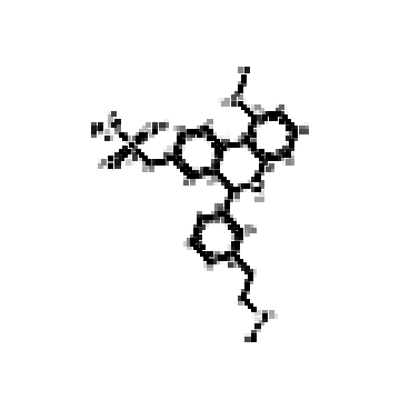 COCCc1cccc(C2Oc3cccc(OC)c3-c3ccc(CS(N)(=O)=O)cc32)c1